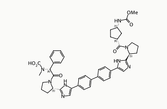 COC(=O)N[C@H]1CC[C@@H](C(=O)N2CCC[C@H]2c2ncc(-c3ccc(-c4ccc(-c5cnc([C@@H]6CCCN6C(=O)[C@@H](c6ccccc6)N(C)C(=O)O)[nH]5)cc4)cc3)[nH]2)C1